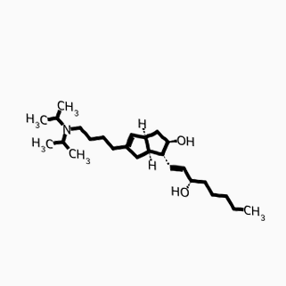 CCCCC[C@H](O)/C=C/[C@@H]1[C@H]2CC(CCCCN(C(C)C)C(C)C)=C[C@H]2C[C@H]1O